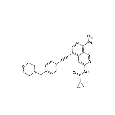 CNc1ncc(C#Cc2ccc(CN3CCOCC3)cc2)c2cc(NC(=O)C3CC3)ncc12